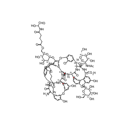 CC(=O)N[C@H]1[C@H](O[C@@H]2c3ccc(c(Cl)c3)Oc3cc4cc(c3O[C@@H]3O[C@H](COC(=O)CCCC(=O)NC(O)C=O)[C@@H](O)[C@H](O)[C@H]3NC(=O)CCCCCCCC(C)C)Oc3ccc(cc3Cl)C[C@H]3NC(=O)[C@H](N)c5ccc(O)c(c5)Oc5cc(O)cc(c5)[C@H](NC3=O)C(=O)N[C@H]4C(=O)N[C@H]3C(=O)N[C@@H]2C(=O)N[C@@H](C(=O)O)c2cc(O)cc(O[C@H]4O[C@H](CO)[C@@H](O)[C@H](O)[C@@H]4O)c2-c2cc3ccc2O)O[C@H](CO)[C@@H](O)[C@@H]1O